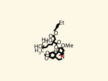 CCC#CCOC(=O)C[C@](O)(CCCC(C)(C)O)C(=O)OC1C(OC)=CC23CCCN2CCc2cc4c(cc2[C@H]13)OCO4